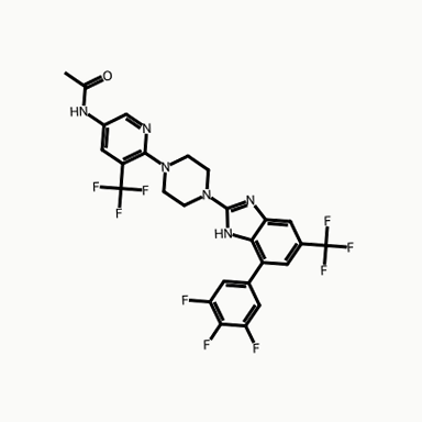 CC(=O)Nc1cnc(N2CCN(c3nc4cc(C(F)(F)F)cc(-c5cc(F)c(F)c(F)c5)c4[nH]3)CC2)c(C(F)(F)F)c1